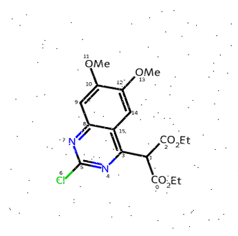 CCOC(=O)C(C(=O)OCC)c1nc(Cl)nc2cc(OC)c(OC)cc12